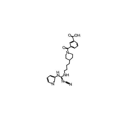 N#C/N=C(\NCCCCC1CCN(C(=O)c2cccc(C(=O)O)c2)CC1)Nc1cccnc1